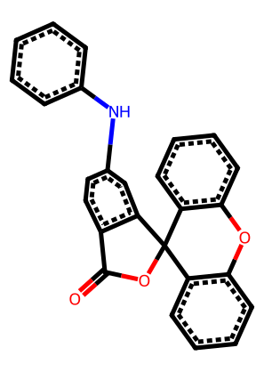 O=C1OC2(c3ccccc3Oc3ccccc32)c2cc(Nc3ccccc3)ccc21